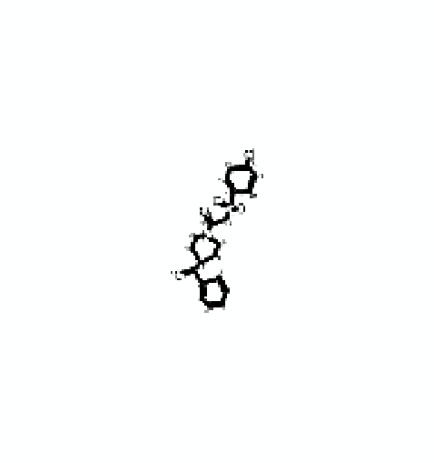 O=C(c1ccccc1)C1CCN(C(=O)CS(=O)(=O)c2ccc(Cl)cc2)CC1